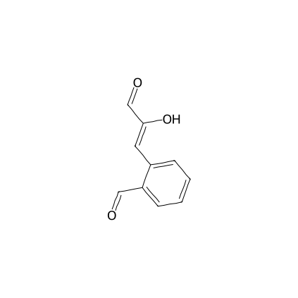 O=CC(O)=Cc1ccccc1C=O